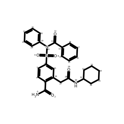 NC(=O)c1ccc(S(=O)(=O)N(C(=O)c2ccccc2)c2ccccc2)cc1CC(=O)NC1CCCCC1